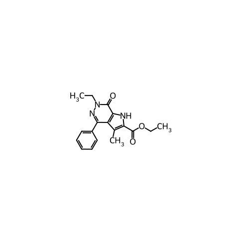 CCOC(=O)c1[nH]c2c(=O)n(CC)nc(-c3ccccc3)c2c1C